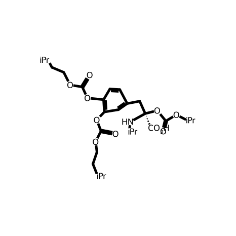 CC(C)CCOC(=O)Oc1ccc(C[C@](NC(C)C)(OC(=O)OC(C)C)C(=O)O)cc1OC(=O)OCCC(C)C